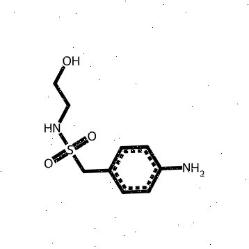 Nc1ccc(CS(=O)(=O)NCCO)cc1